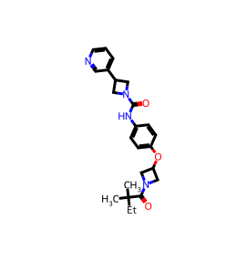 CCC(C)(C)C(=O)N1CC(Oc2ccc(NC(=O)N3CC(c4cccnc4)C3)cc2)C1